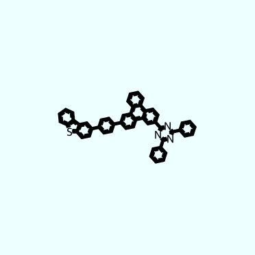 c1ccc(-c2nc(-c3ccccc3)nc(-c3ccc4c5ccccc5c5cc(-c6ccc(-c7ccc8sc9ccccc9c8c7)cc6)ccc5c4c3)n2)cc1